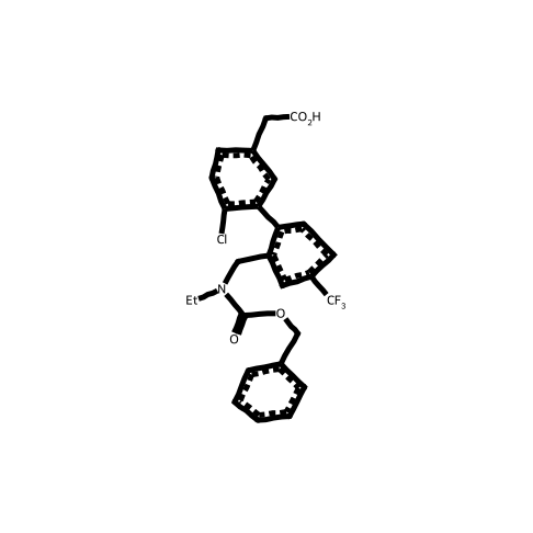 CCN(Cc1cc(C(F)(F)F)ccc1-c1cc(CC(=O)O)ccc1Cl)C(=O)OCc1ccccc1